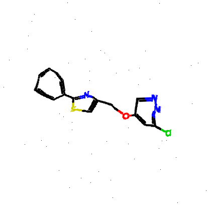 Clc1cc(OCc2csc(-c3ccccc3)n2)cnn1